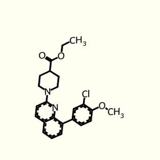 CCOC(=O)C1CCN(c2ccc3cccc(-c4ccc(OC)c(Cl)c4)c3n2)CC1